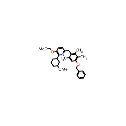 COCOc1ccc(Cc2c(C)cc(OCc3ccccc3)c(C)c2C)nc1C1CCCC(OC)C1